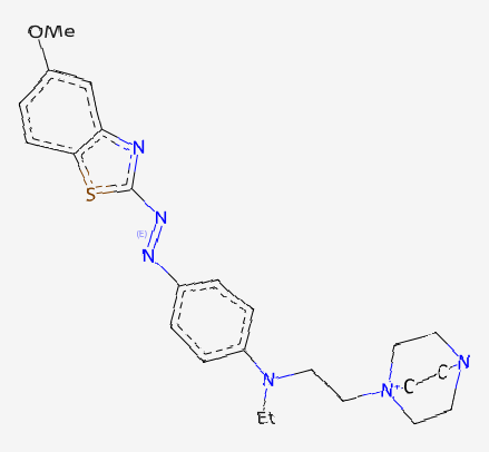 CCN(CC[N+]12CCN(CC1)CC2)c1ccc(/N=N/c2nc3cc(OC)ccc3s2)cc1